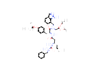 C=CC[C@H](CC(=O)N[C@@H](Cc1ccc(OC(C)(C)C)cc1)C(=O)N(Cc1cccc2cn[nH]c12)CC(OCC)OCC)NC(=O)NCc1ccccc1